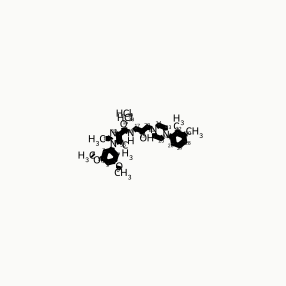 COc1cc(OC)cc(-n2c(C)nc(C(=O)NCC(O)CN3CCN(c4cccc(C)c4C)CC3)c2C)c1.Cl.Cl